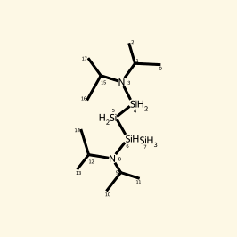 CC(C)N([SiH2][SiH2][SiH]([SiH3])N(C(C)C)C(C)C)C(C)C